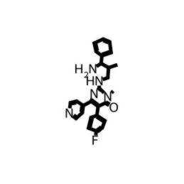 CC(CNc1nc(-c2ccncc2)c(-c2ccc(F)cc2)c(=O)n1C)C(N)c1ccccc1